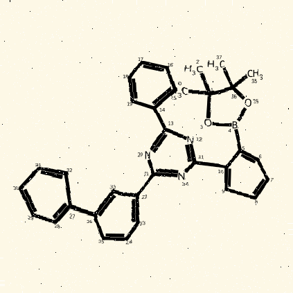 CC1(C)OB(c2ccccc2-c2nc(-c3ccccc3)nc(-c3cccc(-c4ccccc4)c3)n2)OC1(C)C